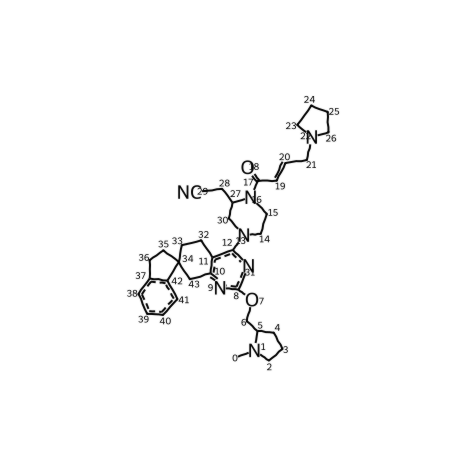 CN1CCCC1COc1nc2c(c(N3CCN(C(=O)/C=C/CN4CCCC4)C(CC#N)C3)n1)CCC1(CCc3ccccc31)C2